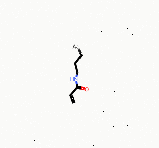 C=CC(=O)NCCCC(C)=O